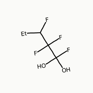 CCC(F)C(F)(F)C(O)(O)F